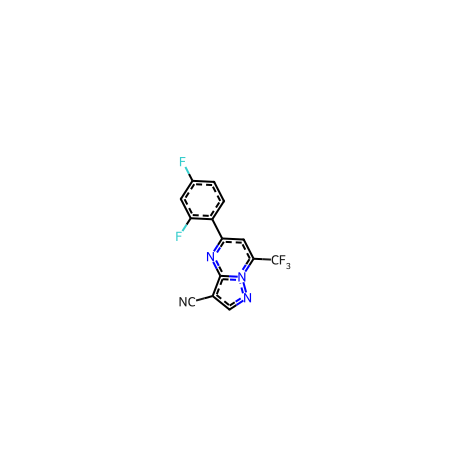 N#Cc1cnn2c(C(F)(F)F)cc(-c3ccc(F)cc3F)nc12